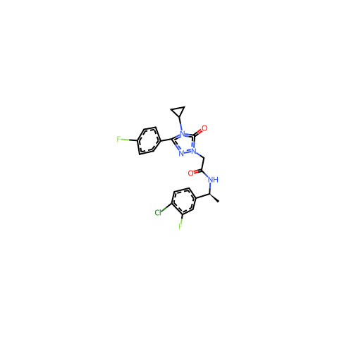 C[C@H](NC(=O)Cn1nc(-c2ccc(F)cc2)n(C2CC2)c1=O)c1ccc(Cl)c(F)c1